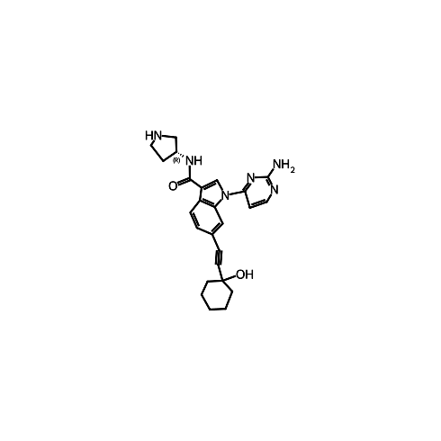 Nc1nccc(-n2cc(C(=O)N[C@@H]3CCNC3)c3ccc(C#CC4(O)CCCCC4)cc32)n1